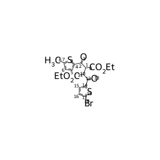 CCOC(=O)C(C(=O)c1ccc(C)s1)C(C(=O)OCC)C(=O)c1ccc(Br)s1